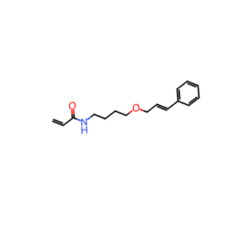 C=CC(=O)NCCCCOCC=Cc1ccccc1